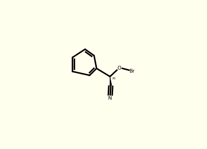 N#C[C@H](OBr)c1ccccc1